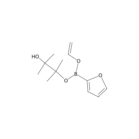 C=COB(OC(C)(C)C(C)(C)O)c1ccco1